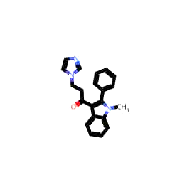 Cn1c(-c2ccccc2)c(C(=O)CCn2ccnc2)c2ccccc21